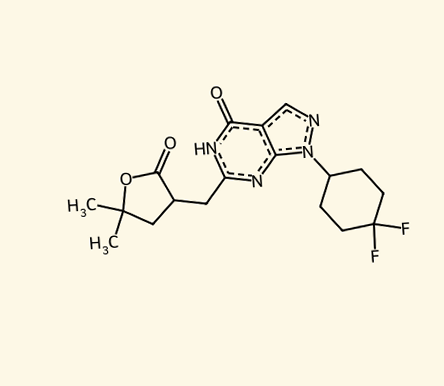 CC1(C)CC(Cc2nc3c(cnn3C3CCC(F)(F)CC3)c(=O)[nH]2)C(=O)O1